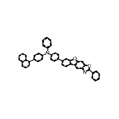 c1ccc(-c2nc3cc4c(cc3o2)oc2cc(-c3ccc(N(c5ccccc5)c5ccc(-c6cccc7ccccc67)cc5)cc3)ccc24)cc1